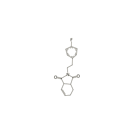 O=C1C2C=CCCC2C(=O)N1CCc1ccc(F)cc1